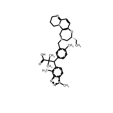 CC[C@@H]1CN(Cc2cc(C(c3ccc4c(nnn4C)c3C)C(C)(C)C(=O)O)ccc2C)CC2=C(C=CC3=NCCCN32)O1